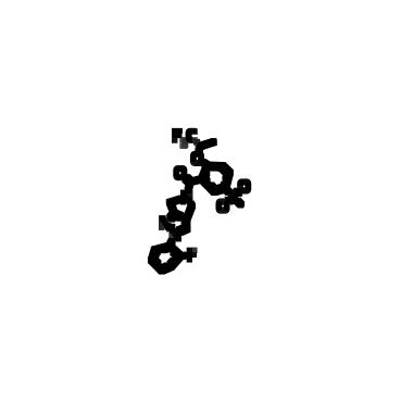 C[C@H](Oc1ccc(S(C)(=O)=O)cc1C(=O)N1Cc2cn(-c3ccccc3F)nc2C1)C(F)(F)F